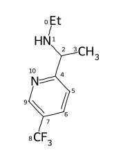 CCNC(C)c1ccc(C(F)(F)F)cn1